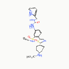 CC(C)(C)NS(=O)(=O)c1cc(NC(=O)NCc2ccccn2)ccc1-c1cnc([C@H]2CC[C@H](NC(=O)O)CC2)s1